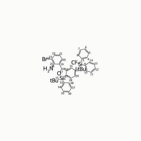 CC(C)(C)[Si](Cl)(c1ccccc1)c1ccccc1.CC(C)(C)[Si](OCc1cccc(Br)c1N)(c1ccccc1)c1ccccc1